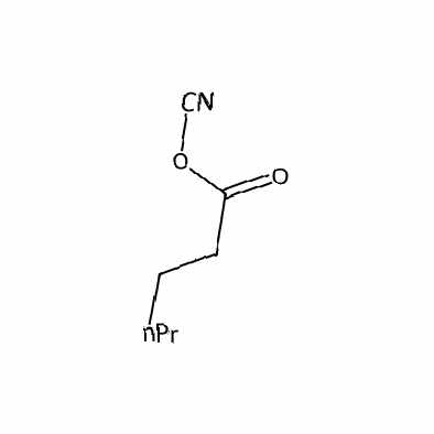 CCCCCC(=O)OC#N